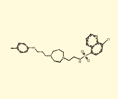 Cc1ccc(OCCCN2CCCN(CCNS(=O)(=O)c3ccc(Cl)c4ncccc34)CC2)cc1